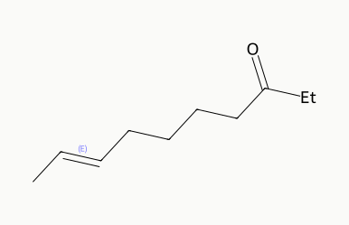 C/C=C/CCCCC(=O)CC